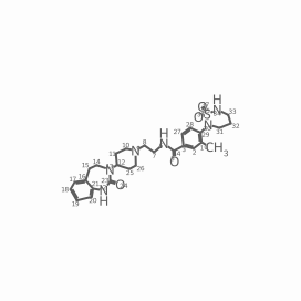 Cc1cc(C(=O)NCCN2CCC(N3CCc4ccccc4NC3=O)CC2)ccc1N1CCCNS1(=O)=O